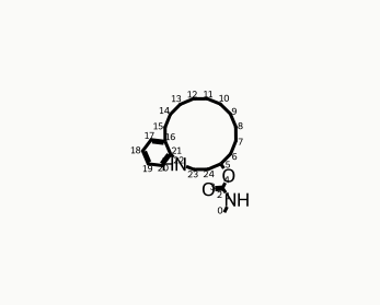 CNC(=O)OC1CCCCCCCCCCc2ccccc2NCC1